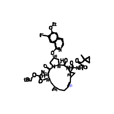 CCOc1cc2ccnc(O[C@@H]3C[C@H]4C(=O)N[C@]5(C(=O)NS(=O)(=O)C6(C)CC6)CC5/C=C\CC[C@@H](C)C[C@@H](C)[C@H](NC(=O)OC(C)(C)C)C(=O)N4C3)c2cc1F